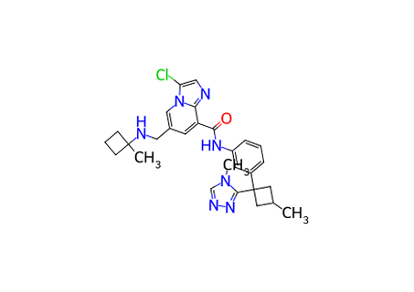 CC1CC(c2cccc(NC(=O)c3cc(CNC4(C)CCC4)cn4c(Cl)cnc34)c2)(c2nncn2C)C1